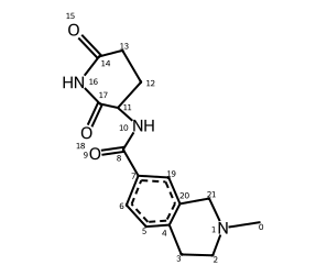 CN1CCc2ccc(C(=O)NC3CCC(=O)NC3=O)cc2C1